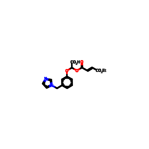 CCOC(=O)/C=C/C(=O)OC(Oc1cccc(Cn2ccnc2)c1)C(=O)O